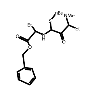 CCCCSC(NC(CC)C(=O)OCc1ccccc1)C(=O)C(CC)NC